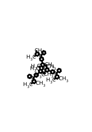 CC1=CC(N(c2ccccc2)c2ccc(-c3cc4c5c(c3)C(C)(C)c3cc(-c6ccc(N(c7ccccc7)c7cc(C)cc(C)c7)cc6)cc6c3N5c3c(cc(-c5ccc(N(c7ccccc7)c7cc(C)cc(C)c7)cc5)cc3C4(C)C)C6(C)C)cc2)CC(C)=C1